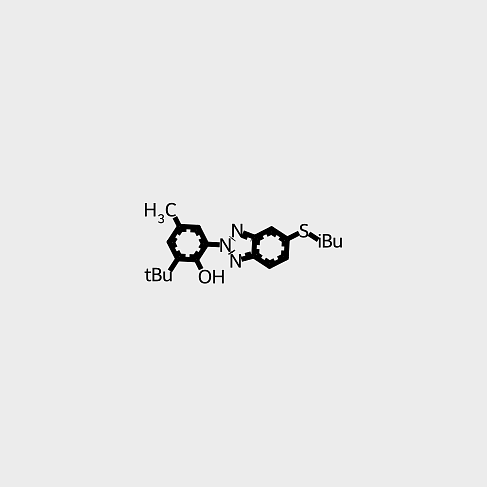 CCC(C)Sc1ccc2nn(-c3cc(C)cc(C(C)(C)C)c3O)nc2c1